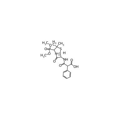 COP(=O)(OC)C1N2C(=O)C(NC(=O)C(C(=O)O)c3ccccc3)[C@@H]2SC1(C)C